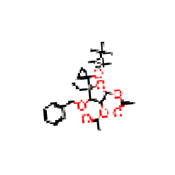 CC[C@@]1(C2(O[Si](C)(C)C(C)(C)C)CC2)OC(OC(C)=O)C(OC(C)=O)[C@H]1OCc1ccccc1